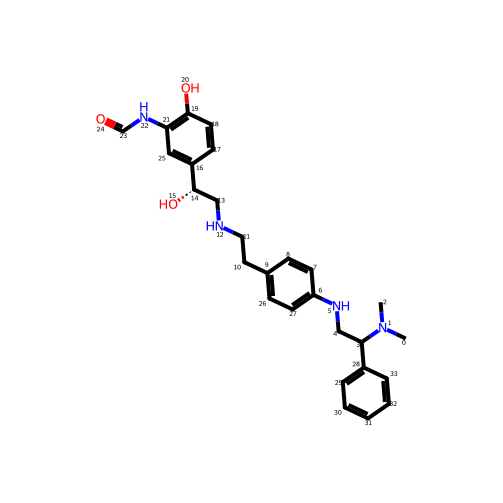 CN(C)C(CNc1ccc(CCNC[C@H](O)c2ccc(O)c(NC=O)c2)cc1)c1ccccc1